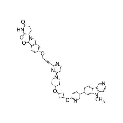 Cn1c2ccncc2c2ccc(-c3ccc(O[C@H]4C[C@H](OC5CCN(c6ccnc(C#CCOc7ccc8c(c7)CN(C7CCC(=O)NC7=O)C8=O)n6)CC5)C4)nc3)cc21